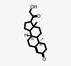 CC12CCC3[C@H](CCC4=CC(=O)CC[C@@]43C)C1CCC2C(=O)CO